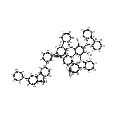 N#Cc1cc(C#N)cc(-c2c(-n3c4ccccc4c4ccccc43)c(F)c(-n3c4ccccc4c4ccccc43)c(F)c2-n2c3ccccc3c3cc(-c4cccc(-c5ccc6[nH]c7ccc(-c8ccccc8)cc7c6c5)c4)ccc32)c1